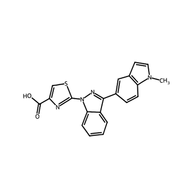 Cn1ccc2cc(-c3nn(-c4nc(C(=O)O)cs4)c4ccccc34)ccc21